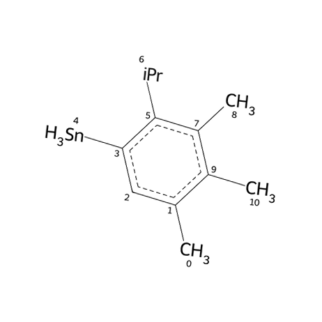 Cc1c[c]([SnH3])c(C(C)C)c(C)c1C